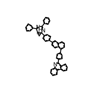 c1ccc(C2=NC3(c4ccc(-c5ccc6c(-c7ccc(-c8nc9ccccc9c9ccccc89)cc7)cccc6c5)cc4)C[C@@H]3C(c3ccccc3)=N2)cc1